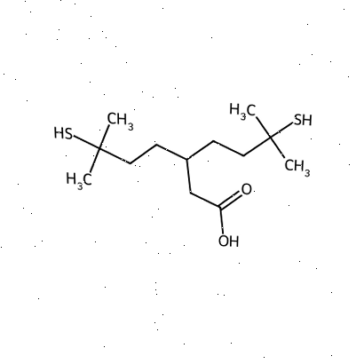 CC(C)(S)CCC(CCC(C)(C)S)CC(=O)O